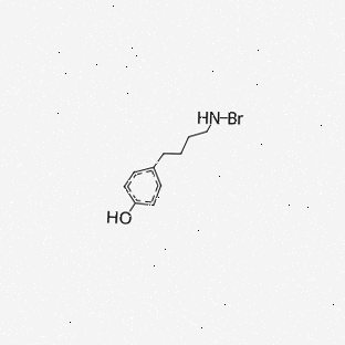 Oc1ccc(CCCCNBr)cc1